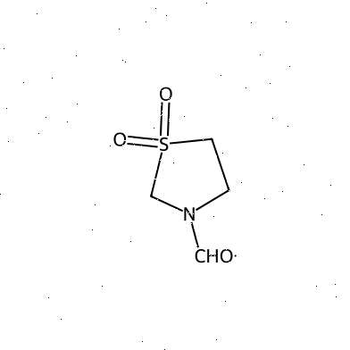 O=[C]N1CCS(=O)(=O)C1